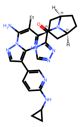 CCc1c([C@H]2C[C@H]3CC[C@@H](C2)N3C(=O)c2nnc[nH]2)nc2c(-c3ccc(NC4CC4)nc3)cnn2c1N